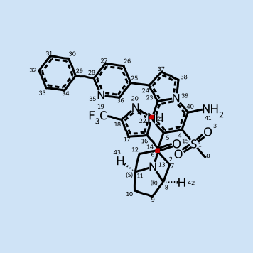 CS(=O)(=O)c1c(C2C[C@H]3CC[C@@H](C2)N3C(=O)c2cc(C(F)(F)F)n[nH]2)nc2c(-c3ccc(-c4ccccc4)nc3)ccn2c1N